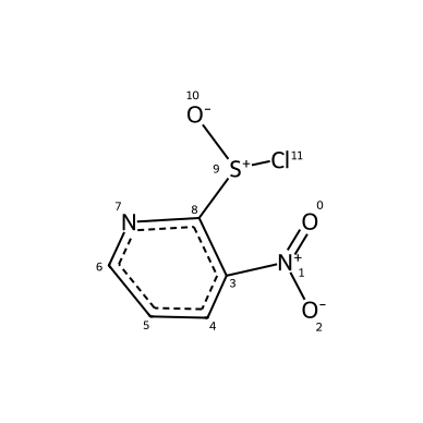 O=[N+]([O-])c1cccnc1[S+]([O-])Cl